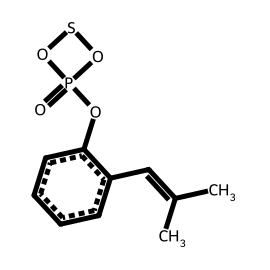 CC(C)=Cc1ccccc1OP1(=O)OSO1